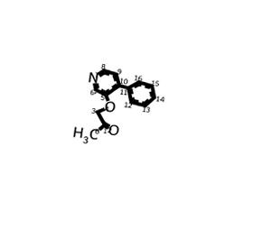 CC(=O)COc1[c]nccc1-c1ccccc1